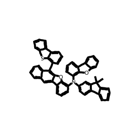 CC1(C)c2ccccc2-c2ccc(N(c3cccc4c3oc3ccccc34)c3cccc4c3oc3c(-c5cccc6c5sc5ccccc56)c5ccccc5cc34)cc21